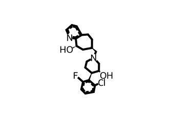 O[C@H]1C[C@H](CN2CC[C@H](c3c(F)cccc3Cl)[C@@H](O)C2)CCc2cccnc21